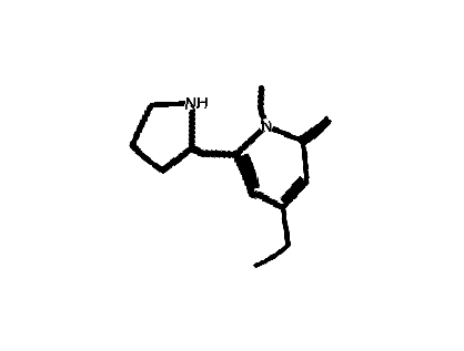 C=C1C=C(CC)C=C(C2CCCN2)N1C